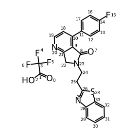 O=C(O)C(F)(F)F.O=C1c2c(-c3ccc(F)cc3)ccnc2CN1CCc1nc2ccccc2s1